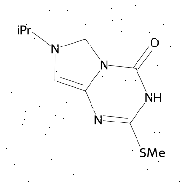 CSC1=NC2=CN(C(C)C)CN2C(=O)N1